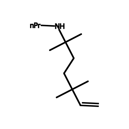 C=CC(C)(C)CCC(C)(C)NCCC